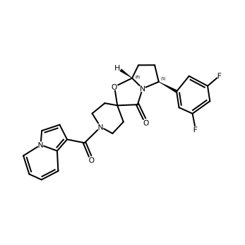 O=C(c1ccn2ccccc12)N1CCC2(CC1)O[C@@H]1CC[C@@H](c3cc(F)cc(F)c3)N1C2=O